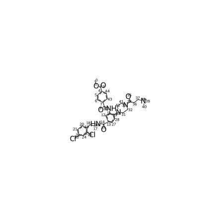 COC(=O)c1ccc(C(=O)Nc2cc(C(=O)NCCc3ccc(Cl)cc3Cl)ccc2N2CCN(C(=O)CCN(C)C)CC2)cc1